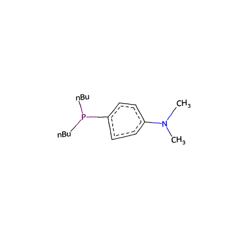 CCCCP(CCCC)c1ccc(N(C)C)cc1